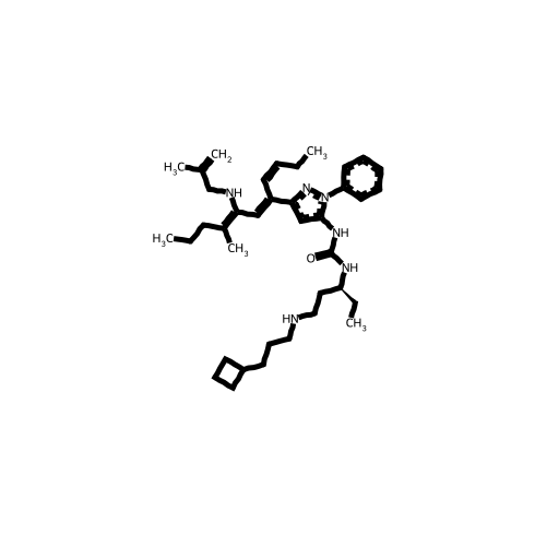 C=C(C)CNC(/C=C(\C=C/CC)c1cc(NC(=O)N[C@@H](CC)CCNCCCC2CCC2)n(-c2ccccc2)n1)=C(/C)CCC